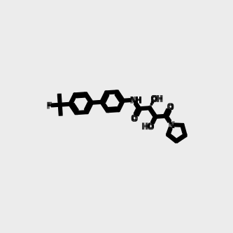 CC(C)(F)c1ccc(-c2ccc(NC(=O)[C@H](O)C(O)C(=O)N3CCCC3)cc2)cc1